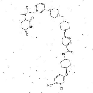 CN(C(=O)Cc1cc(N2CCN(CC3CCN(c4ccc(C(=O)N[C@H]5CC[C@H](Oc6ccc(C#N)c(Cl)c6)CC5)nn4)CC3)CC2)ccn1)C1CCC(=O)NC1=O